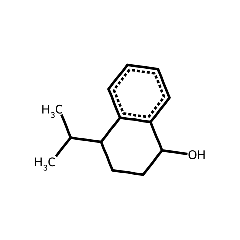 CC(C)C1CCC(O)c2ccccc21